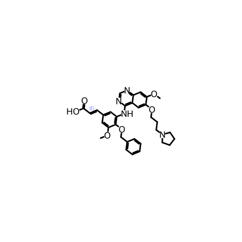 COc1cc2ncnc(Nc3cc(/C=C/C(=O)O)cc(OC)c3OCc3ccccc3)c2cc1OCCCN1CCCC1